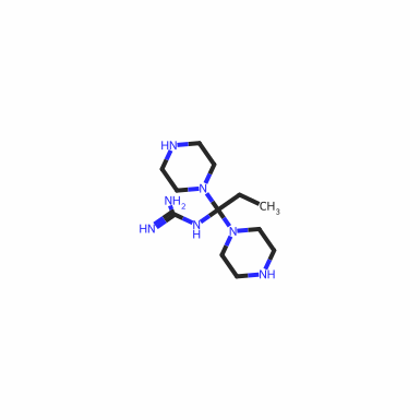 CCC(NC(=N)N)(N1CCNCC1)N1CCNCC1